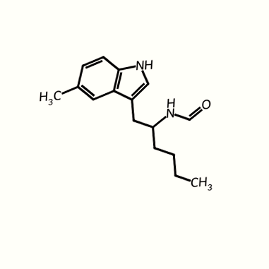 CCCCC(Cc1c[nH]c2ccc(C)cc12)NC=O